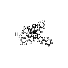 Cc1cccc(C)c1-n1c2ccccc2c2ccc(-n3c4ccc(-c5ccccc5)cc4c4cc(-c5ccccc5)ccc43)c(-c3ccc(C#N)c(C#N)c3)c21